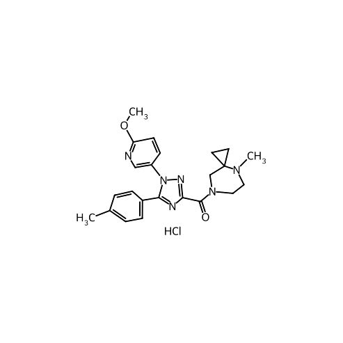 COc1ccc(-n2nc(C(=O)N3CCN(C)C4(CC4)C3)nc2-c2ccc(C)cc2)cn1.Cl